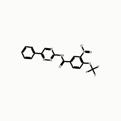 O=C(Nc1ncc(-c2ccccc2)nn1)c1ccc(OC(F)(F)F)c([N+](=O)[O-])c1